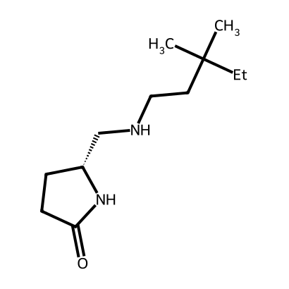 CCC(C)(C)CCNC[C@H]1CCC(=O)N1